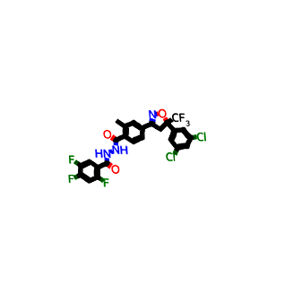 Cc1cc(C2=NOC(c3cc(Cl)cc(Cl)c3)(C(F)(F)F)C2)ccc1C(=O)NNC(=O)c1cc(F)c(F)cc1F